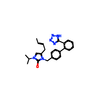 C/C=C/Cc1cn(C(C)C)c(=O)n1Cc1ccc(-c2ccccc2-c2nnn[nH]2)cc1